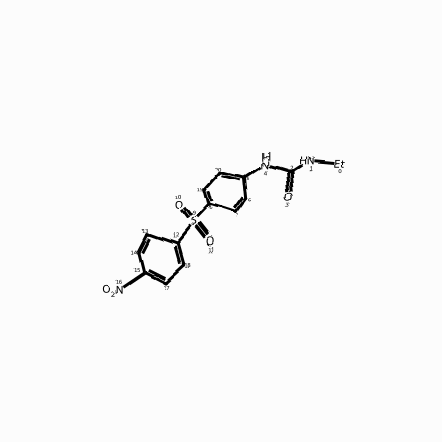 CCNC(=O)Nc1ccc(S(=O)(=O)c2ccc([N+](=O)[O-])cc2)cc1